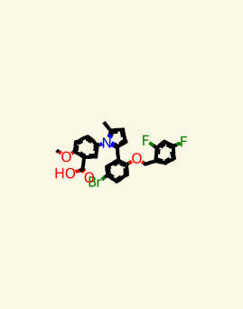 COc1ccc(-n2c(C)ccc2-c2cc(Br)ccc2OCc2ccc(F)cc2F)cc1C(=O)O